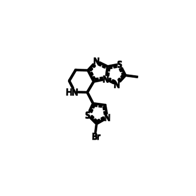 Cc1nn2c3c(nc2s1)CCNC3c1cnc(Br)s1